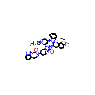 CCc1ccc(CC(NC(=O)N2CCC(N3CCc4ccccc4NC3=O)CC2)c2nc3ccccc3n2C2CCN(C)CC2)cc1CC